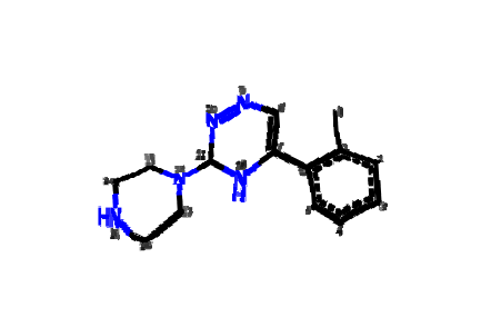 Cc1ccccc1C1=CN=NC(N2CCNCC2)N1